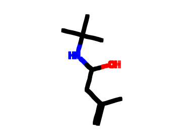 C=C(C)CC(O)NC(C)(C)C